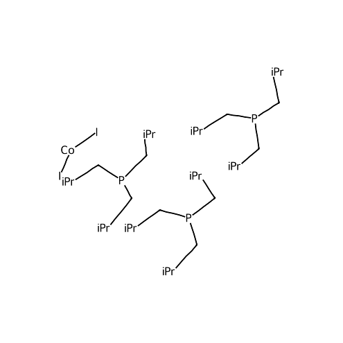 CC(C)CP(CC(C)C)CC(C)C.CC(C)CP(CC(C)C)CC(C)C.CC(C)CP(CC(C)C)CC(C)C.[I][Co][I]